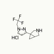 Cl.FC(F)(F)Cn1ccc(C23CNCC2C3)n1